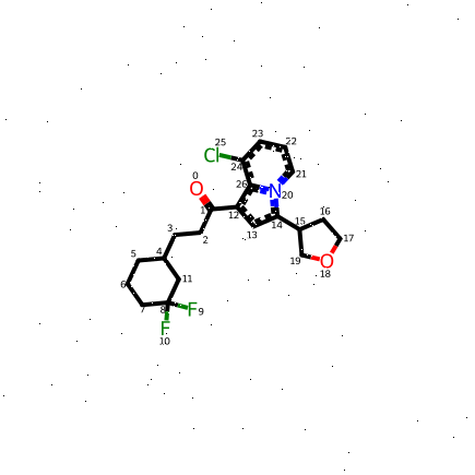 O=C(CCC1CCCC(F)(F)C1)c1cc(C2CCOC2)n2cccc(Cl)c12